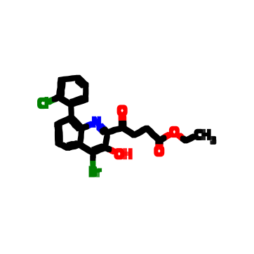 CCOC(=O)CCC(=O)c1nc2c(-c3ccccc3Cl)cccc2c(Br)c1O